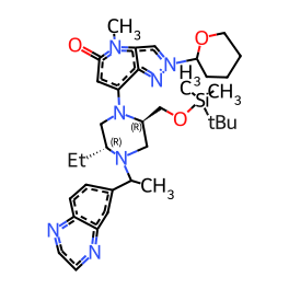 CC[C@@H]1CN(c2cc(=O)n(C)c3cn(C4CCCCO4)nc23)[C@@H](CO[Si](C)(C)C(C)(C)C)CN1C(C)c1ccc2nccnc2c1